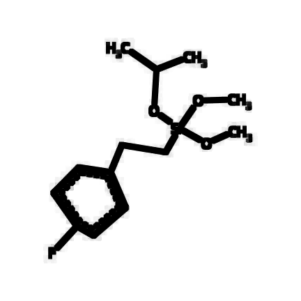 CO[Si](CCc1ccc(F)cc1)(OC)OC(C)C